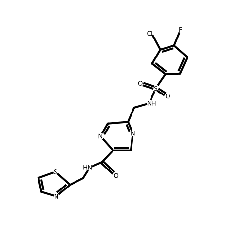 O=C(NCc1nccs1)c1cnc(CNS(=O)(=O)c2ccc(F)c(Cl)c2)cn1